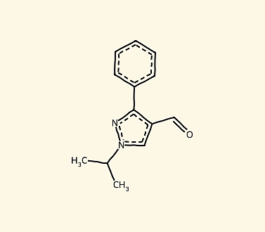 CC(C)n1cc(C=O)c(-c2ccccc2)n1